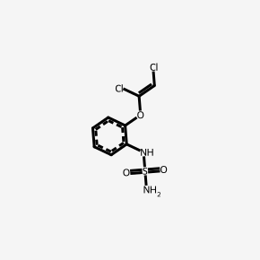 NS(=O)(=O)Nc1ccccc1OC(Cl)=CCl